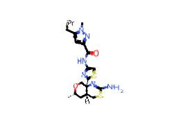 CC(C)Cc1cc(C(=O)Nc2csc([C@]34CO[C@@H](C)C[C@H]3CSC(N)=N4)n2)nn1C